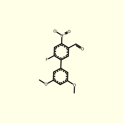 COc1cc(OC)cc(-c2cc(C=O)c([N+](=O)[O-])cc2F)c1